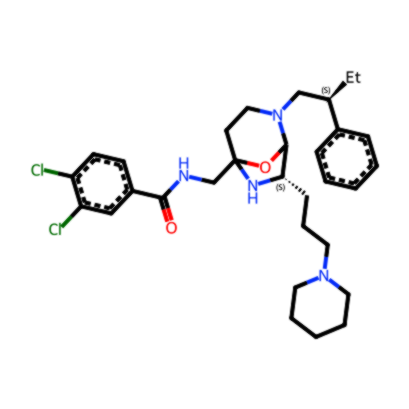 CC[C@H](CN1CCC2(CNC(=O)c3ccc(Cl)c(Cl)c3)N[C@@H](CCCN3CCCCC3)C1O2)c1ccccc1